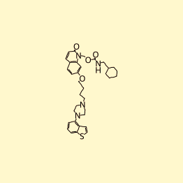 O=C(NCC1CCCCC1)OCn1c(=O)ccc2ccc(OCCCCN3CCN(c4cccc5sccc45)CC3)cc21